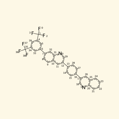 FC(F)(F)c1cc(-c2ccc3cc(-c4ccc(-c5cnc6ccccc6c5)cc4)cnc3c2)cc(C(F)(F)F)c1